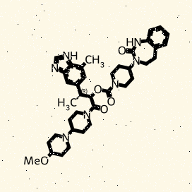 COC1CCN(C2CCN(C(=O)C(OC(=O)N3CCC(N4CCc5ccccc5NC4=O)CC3)[C@H](C)c3cc(C)c4[nH]cnc4c3)CC2)CC1